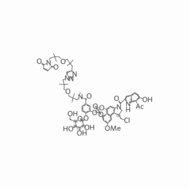 COc1ccc2c(OS(=O)(=O)Oc3cc(C(=O)N(C)CC(C)(C)COCC(C)(C)Cn4cc(CC(C)(C)COCC(C)(C)CN5C(=O)C=CC5=O)nn4)ccc3O[C@@H]3O[C@H](CO)[C@H](O)[C@H](O)[C@H]3O)cc3c(c2c1)[C@H](CCl)CN3C(=O)c1cc2ccc(O)c(C(C)=O)c2[nH]1